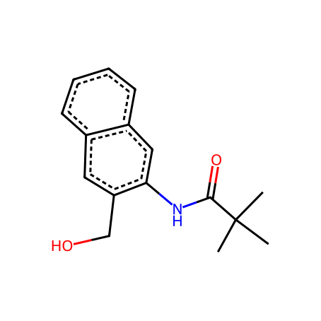 CC(C)(C)C(=O)Nc1cc2ccccc2cc1CO